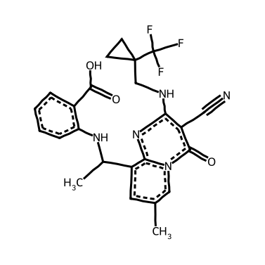 Cc1cc(C(C)Nc2ccccc2C(=O)O)c2nc(NCC3(C(F)(F)F)CC3)c(C#N)c(=O)n2c1